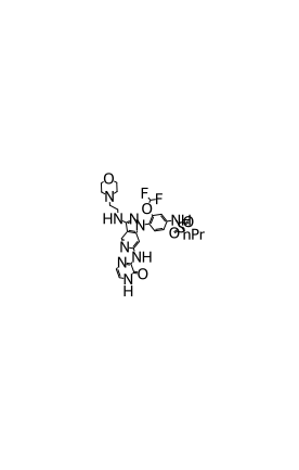 CCCS(=O)(=O)Nc1ccc(-n2nc(NCCN3CCOCC3)c3cnc(Nc4ncc[nH]c4=O)cc32)c(OC(F)F)c1